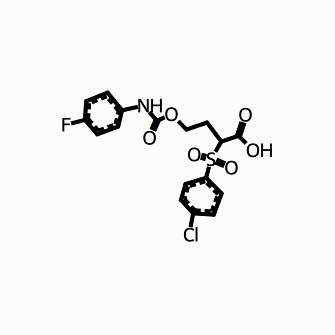 O=C(Nc1ccc(F)cc1)OCCC(C(=O)O)S(=O)(=O)c1ccc(Cl)cc1